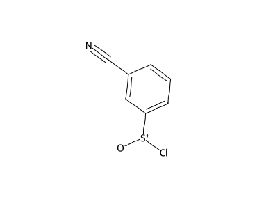 N#Cc1cccc([S+]([O-])Cl)c1